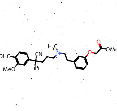 COC(=O)COc1cccc(CCN(C)CCCC(C#N)(c2ccc(C=O)c(OC)c2)C(C)C)c1